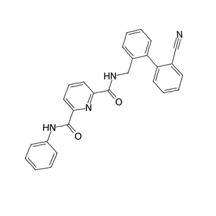 N#Cc1ccccc1-c1ccccc1CNC(=O)c1cccc(C(=O)Nc2ccccc2)n1